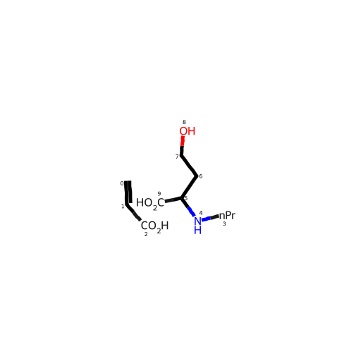 C=CC(=O)O.CCCNC(CCO)C(=O)O